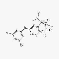 N#Cc1cc(F)cc(Oc2ccc3c4c2CC(F)[C@]4(O)C(F)(F)C3(F)F)c1